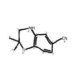 CC1(C)CNc2cc(C#N)ccc2O1